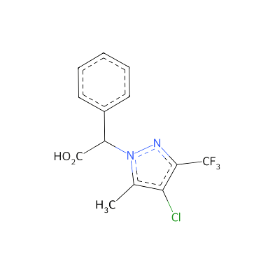 Cc1c(Cl)c(C(F)(F)F)nn1C(C(=O)O)c1ccccc1